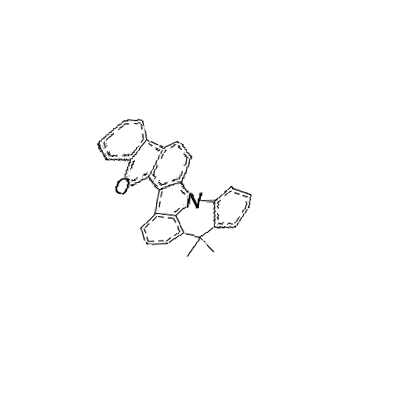 CC1(C)c2ccccc2-n2c3ccc4c5ccccc5oc4c3c3cccc1c32